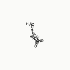 NC(=O)COCCOCCOCC(=O)Nc1cc(C(F)(F)F)c(-c2nc(N3CCOCC3)nc(N3CCOCC3)n2)cn1